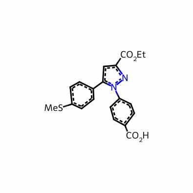 CCOC(=O)c1cc(-c2ccc(SC)cc2)n(-c2ccc(C(=O)O)cc2)n1